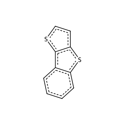 c1ccc2c(c1)sc1ccsc12